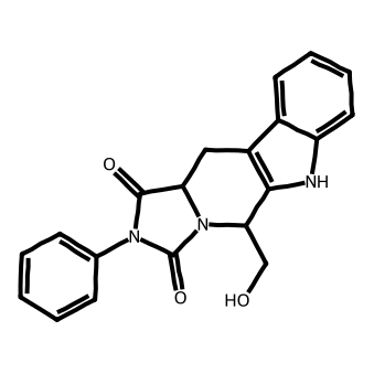 O=C1C2Cc3c([nH]c4ccccc34)C(CO)N2C(=O)N1c1ccccc1